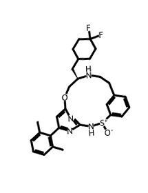 Cc1cccc(C)c1-c1cc2nc(n1)N[S+]([O-])c1cccc(c1)CCN[C@H](CC1CCC(F)(F)CC1)CO2